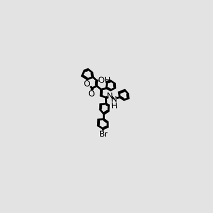 O=c1oc2ccccc2c(O)c1/C(=C/C(=N/Nc1ccccc1)c1ccc(-c2ccc(Br)cc2)cc1)c1ccccc1